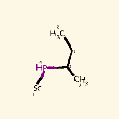 CCC(C)[PH][Sc]